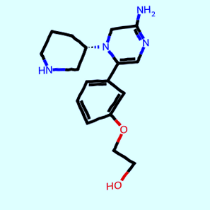 NC1=NC=C(c2cccc(OCCO)c2)N([C@H]2CCCNC2)C1